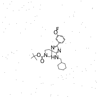 CC(C)(C)OC(=O)N1CCC2(CC1)N=C(c1cccc(OF)c1)N=C2NCC1CCCCC1